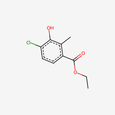 CCOC(=O)c1ccc(Cl)c(O)c1C